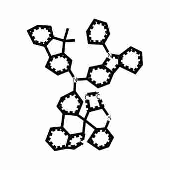 CC1(C)c2ccccc2-c2ccc(N(c3ccc4c(c3)C3(c5ccccc5Sc5ccccc53)c3cccc5cccc-4c35)c3ccc4c5ccccc5n(-c5ccccc5)c4c3)cc21